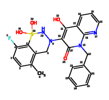 Cc1ccc(F)c2c1CN(c1c(O)c3cccnc3n(Cc3ccccc3)c1=O)NS2(O)O